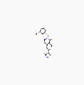 CNC(=O)c1cccc(Cn2ccc3cc(-c4cn[nH]c4C(F)(F)F)ncc3c2=O)c1